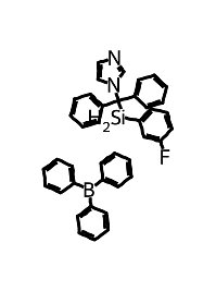 Fc1cccc([SiH2]C(c2ccccc2)(c2ccccc2)n2ccnc2)c1.c1ccc(B(c2ccccc2)c2ccccc2)cc1